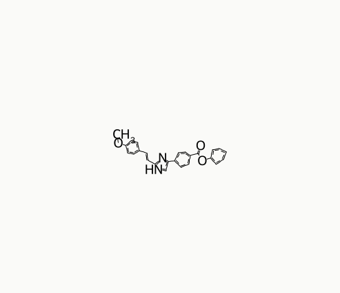 COc1ccc(C=Cc2nc(-c3ccc(C(=O)Oc4ccccc4)cc3)c[nH]2)cc1